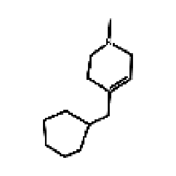 CN1CC=C(CC2CCCCC2)CC1